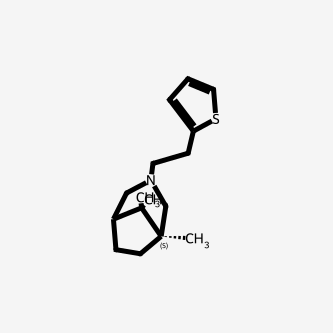 CC1(C)C2CC[C@]1(C)CN(CCc1cccs1)C2